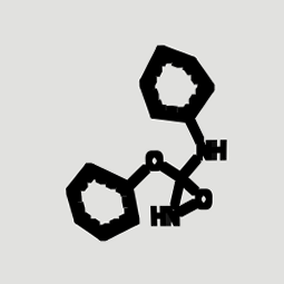 c1ccc(NC2(Oc3ccccc3)NO2)cc1